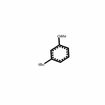 [CH2-][OH+]c1cccc(C(C)(C)C)c1